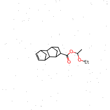 CCOC(C)OC(=O)C1CC2CC1C1C3C=CC(C3)C21